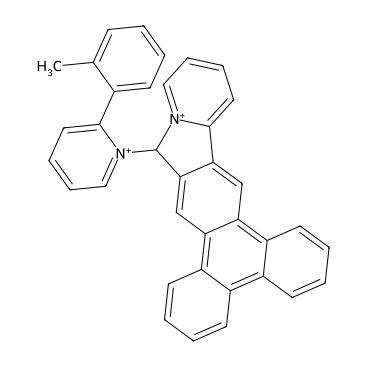 Cc1ccccc1-c1cccc[n+]1C1c2cc3c4ccccc4c4ccccc4c3cc2-c2cccc[n+]21